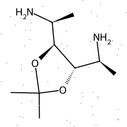 C[C@H](N)[C@@H]1OC(C)(C)O[C@H]1[C@H](C)N